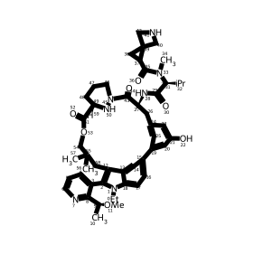 CCn1c(-c2cccnc2[C@H](C)OC)c2c3cc(ccc31)-c1cc(O)cc(c1)C[C@H](NC(=O)[C@H](C(C)C)N(C)C(=O)C1CC13CNC3)C(=O)N1CCC[C@H](N1)C(=O)OCC(C)(C)C2